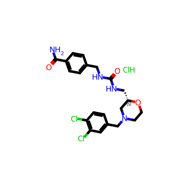 Cl.NC(=O)c1ccc(CNC(=O)NC[C@H]2CN(Cc3ccc(Cl)c(Cl)c3)CCO2)cc1